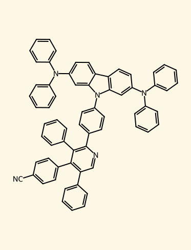 N#Cc1ccc(-c2c(-c3ccccc3)cnc(-c3ccc(-n4c5cc(N(c6ccccc6)c6ccccc6)ccc5c5ccc(N(c6ccccc6)c6ccccc6)cc54)cc3)c2-c2ccccc2)cc1